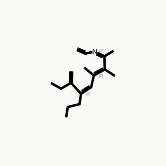 C=C\N=C(C)/C(C)=C(C)/C=C(/CCC)C(=C)CC